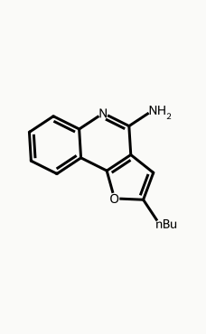 CCCCc1cc2c(N)nc3ccccc3c2o1